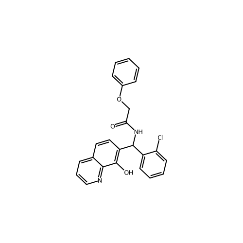 O=C(COc1ccccc1)NC(c1ccccc1Cl)c1ccc2cccnc2c1O